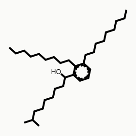 CCCCCCCCCc1cccc(C(O)CCCCCCC(C)C)c1CCCCCCCCC